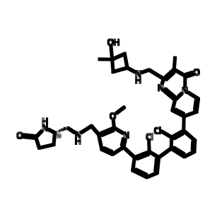 COc1nc(-c2cccc(-c3cccc(-c4ccn5c(=O)c(C)c(CNC6CC(C)(O)C6)nc5c4)c3Cl)c2Cl)ccc1CNC[C@@H]1CCC(=O)N1